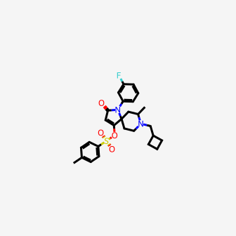 Cc1ccc(S(=O)(=O)OC2=CC(=O)N(c3cccc(F)c3)C23CCN(CC2CCC2)C(C)C3)cc1